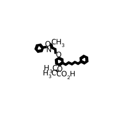 Cc1oc(-c2ccccc2)nc1CCOc1ccc(OC(C)(C)C(=O)O)c(CCCCCc2ccccc2)c1